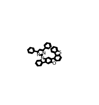 c1ccc(-c2cc(-c3ccccc3)nc(-n3c4ccccc4c4cc5oc6ccc7sc8ccccc8c7c6c5cc43)n2)cc1